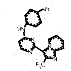 CC(C)c1ccc(Nc2ccnc(-c3c(C(F)(F)F)nc4ccccn34)n2)cc1